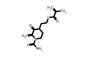 C=C(C)C(=O)OCCC1CCN(C(N)=O)C(=C)C1=O